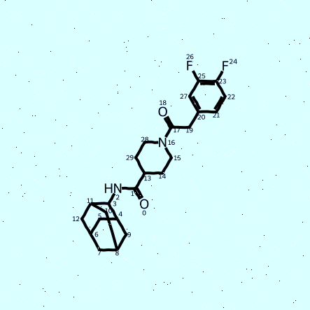 O=C(NC1C2CC3CC(C2)CC1C3)C1CCN(C(=O)Cc2ccc(F)c(F)c2)CC1